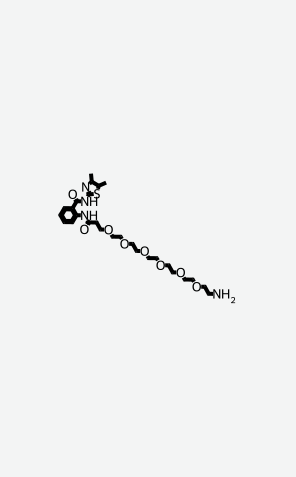 CC1N=C(NC(=O)c2ccccc2NC(=O)CCOCCOCCOCCOCCOCCOCCN)SC1C